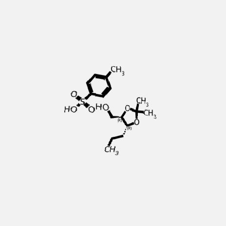 CCC[C@H]1OC(C)(C)O[C@@H]1CO.Cc1ccc(S(=O)(=O)O)cc1